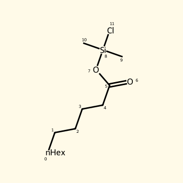 CCCCCCCCCCC(=O)O[Si](C)(C)Cl